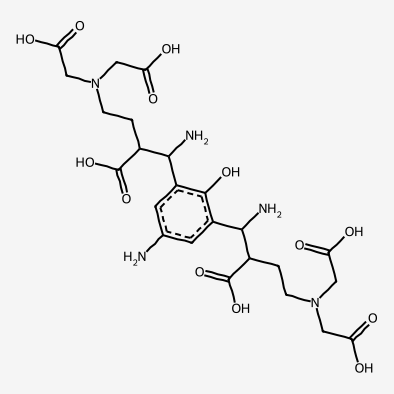 Nc1cc(C(N)C(CCN(CC(=O)O)CC(=O)O)C(=O)O)c(O)c(C(N)C(CCN(CC(=O)O)CC(=O)O)C(=O)O)c1